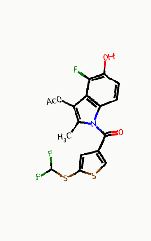 CC(=O)Oc1c(C)n(C(=O)c2csc(SC(F)F)c2)c2ccc(O)c(F)c12